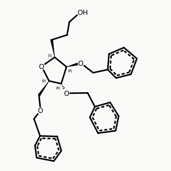 OCCC[C@@H]1O[C@H](COCc2ccccc2)[C@@H](OCc2ccccc2)[C@@H]1OCc1ccccc1